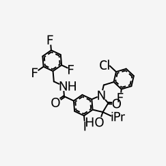 CC(C)C1(O)C(=O)N(Cc2c(F)cccc2Cl)c2cc(C(=O)NCc3c(F)cc(F)cc3F)cc(I)c21